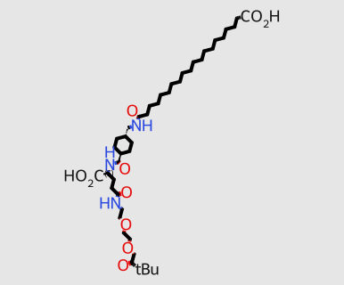 CC(C)(C)C(=O)COCCOCCNC(=O)CC[C@H](NC(=O)[C@H]1CC[C@H](CNC(=O)CCCCCCCCCCCCCCCCCCC(=O)O)CC1)C(=O)O